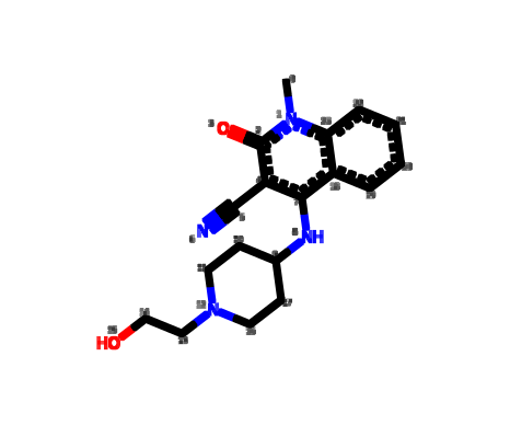 Cn1c(=O)c(C#N)c(NC2CCN(CCO)CC2)c2ccccc21